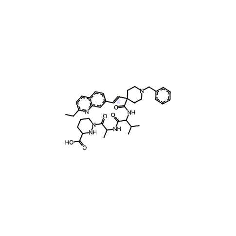 CCc1ccc2ccc(/C=C/C3(C(=O)NC(C(=O)NC(C)C(=O)N4CCCC(C(=O)O)N4)C(C)C)CCN(Cc4ccccc4)CC3)cc2n1